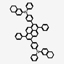 c1ccc(-c2cc(-c3ccc(N(c4ccccc4)c4ccc5c(c4)CCCC5)cc3)c3ccc4c(-c5ccccc5)cc(-c5ccc(N(c6ccccc6)c6ccc7c(c6)CCCC7)cc5)c5ccc2c3c45)cc1